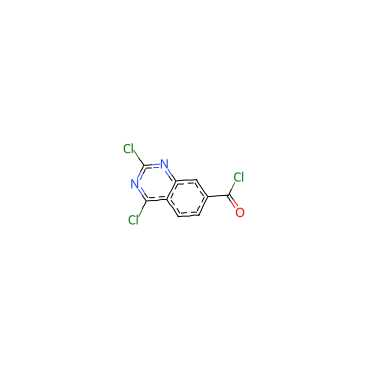 O=C(Cl)c1ccc2c(Cl)nc(Cl)nc2c1